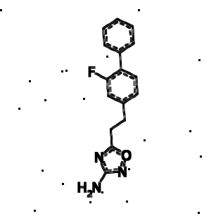 Nc1noc(CCc2ccc(-c3ccccc3)c(F)c2)n1